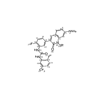 CNc1cc2c(cn1)cc(-c1ccc(F)c(NC(=O)Nc3cc(C(F)(F)F)ccc3F)c1)c(=O)n2C(C)C